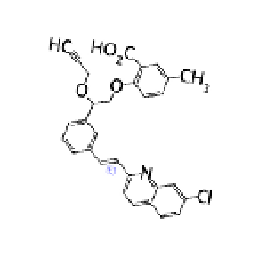 C#CCOC(COc1ccc(C)cc1C(=O)O)c1cccc(/C=C/c2ccc3ccc(Cl)cc3n2)c1